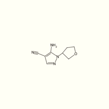 N#Cc1cnn(C2CCOC2)c1N